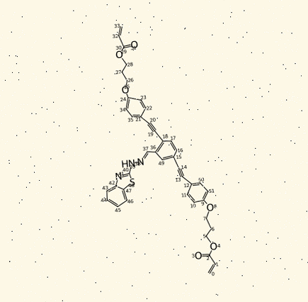 C=CC(=O)OCCCOc1ccc(C#Cc2ccc(C#Cc3ccc(OCCCOC(=O)C=C)cc3)c(/C=N/Nc3nc4ccccc4s3)c2)cc1